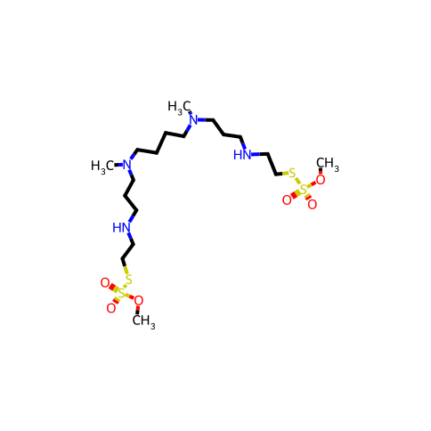 COS(=O)(=O)SCCNCCCN(C)CCCCN(C)CCCNCCSS(=O)(=O)OC